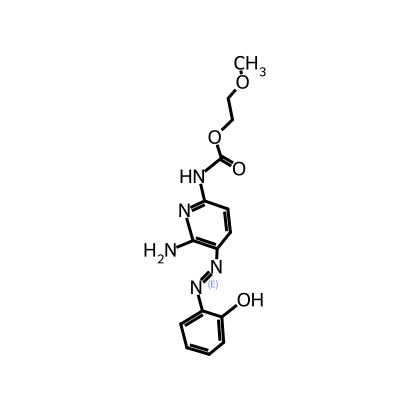 COCCOC(=O)Nc1ccc(/N=N/c2ccccc2O)c(N)n1